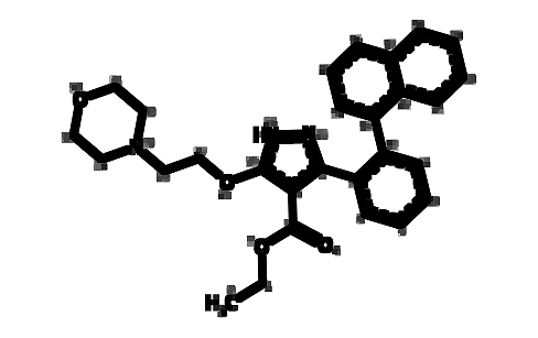 CCOC(=O)c1c(-c2ccccc2-c2cccc3ccccc23)n[nH]c1OCCN1CCOCC1